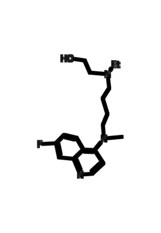 CCN(CCO)CCCCN(C)c1ccnc2cc(F)ccc12